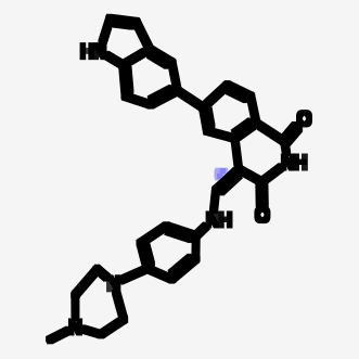 CN1CCN(c2ccc(N/C=C3\C(=O)NC(=O)c4ccc(-c5ccc6[nH]ccc6c5)cc43)cc2)CC1